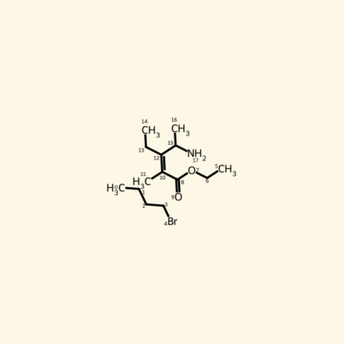 CCCCBr.CCOC(=O)C(C)=C(CC)C(C)N